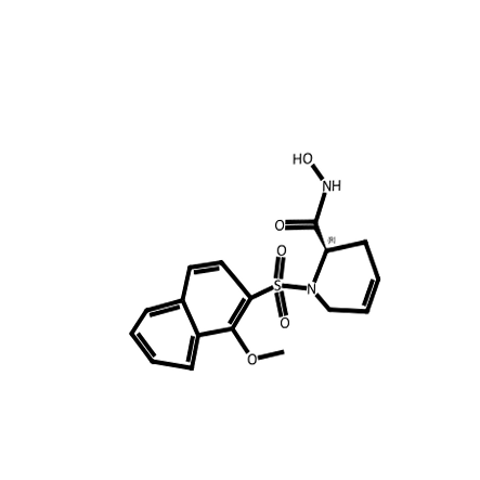 COc1c(S(=O)(=O)N2CC=CC[C@@H]2C(=O)NO)ccc2ccccc12